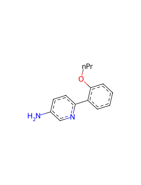 CCCOc1ccccc1-c1ccc(N)cn1